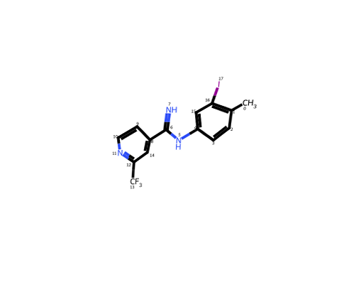 Cc1ccc(NC(=N)c2ccnc(C(F)(F)F)c2)cc1I